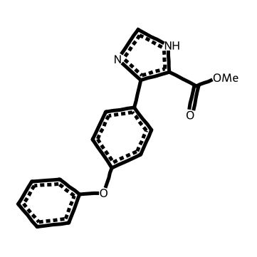 COC(=O)c1[nH]cnc1-c1ccc(Oc2ccccc2)cc1